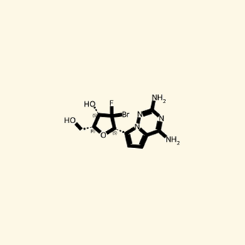 Nc1nc(N)c2ccc([C@@H]3O[C@H](CO)[C@H](O)C3(F)Br)n2n1